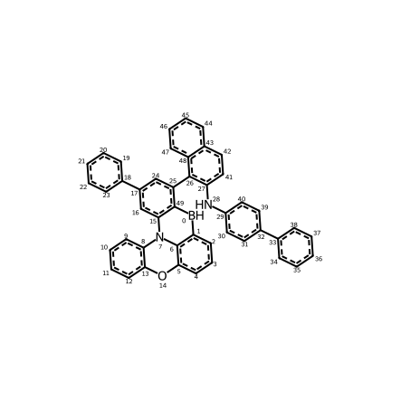 B1c2cccc3c2N(c2ccccc2O3)c2cc(-c3ccccc3)cc(-c3c(Nc4ccc(-c5ccccc5)cc4)ccc4ccccc34)c21